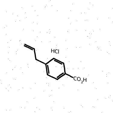 C=CCc1ccc(C(=O)O)cc1.Cl